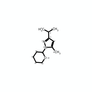 Cc1cc(C(C)C)nn1C1CCCCO1